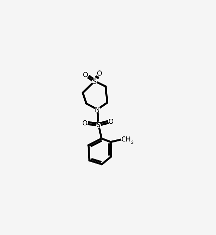 Cc1ccccc1S(=O)(=O)N1CCS(=O)(=O)CC1